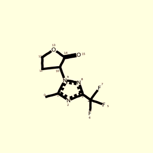 Cc1nc(C(F)(F)F)nn1C1CCOC1=O